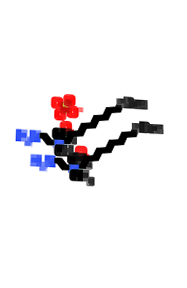 CCCCCCCCCCCCCCCCCC(=O)C[N+](C)(C)CCN.CCCCCCCCCCCCCCCCCC(=O)C[N+](C)(C)CCN.O=S(=O)([O-])[O-]